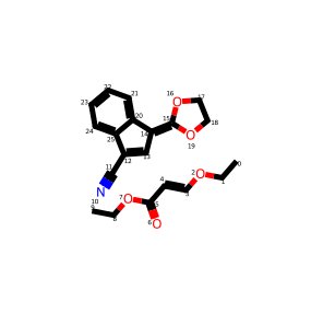 CCOC=CC(=O)OCC.N#CC1=CC(=C2OCCO2)c2ccccc21